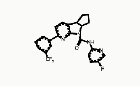 O=C(Nc1ccc(F)cn1)N1c2nc(-c3cccc(C(F)(F)F)c3)ccc2C2CCCC21